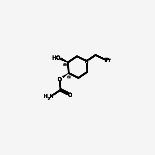 CC(C)CN1CC[C@H](OC(N)=O)[C@@H](O)C1